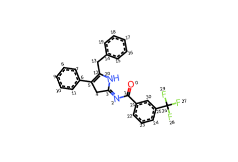 O=C(/N=C1/CC(c2ccccc2)=C(Cc2ccccc2)N1)c1cccc(C(F)(F)F)c1